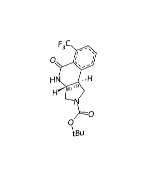 CC(C)(C)OC(=O)N1C[C@@H]2NC(=O)c3c(cccc3C(F)(F)F)[C@H]2C1